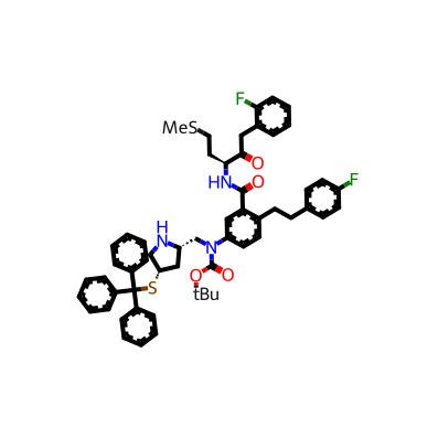 CSCC[C@H](NC(=O)c1cc(N(C[C@@H]2C[C@H](SC(c3ccccc3)(c3ccccc3)c3ccccc3)CN2)C(=O)OC(C)(C)C)ccc1CCc1ccc(F)cc1)C(=O)Cc1ccccc1F